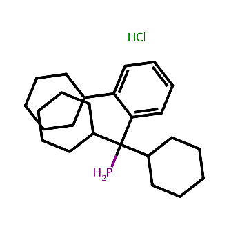 Cl.PC(c1ccccc1C1CCCCC1)(C1CCCCC1)C1CCCCC1